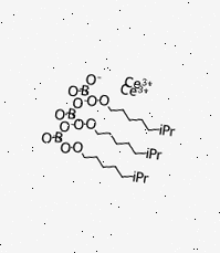 CC(C)CCCCCOOB([O-])[O-].CC(C)CCCCCOOB([O-])[O-].CC(C)CCCCCOOB([O-])[O-].[Ce+3].[Ce+3]